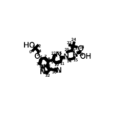 CC(C)(O)COc1cc(-c2ccc(N3CCN(C(=O)O)C(C(C)(C)C)C3)nc2)c2c(C#N)cnn2c1